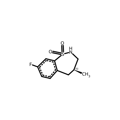 C[C@@H]1CNS(=O)(=O)c2cc(F)ccc2C1